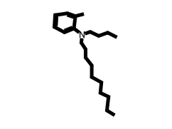 CCCCCCCCCCN(CCCC)c1ccccc1C